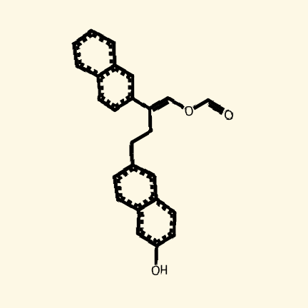 O=CO/C=C(\CCc1ccc2cc(O)ccc2c1)c1ccc2ccccc2c1